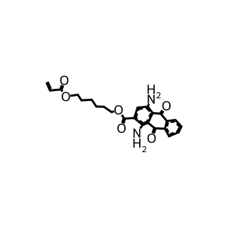 C=CC(=O)OCCCCCCOC(=O)c1cc(N)c2c(c1N)C(=O)c1ccccc1C2=O